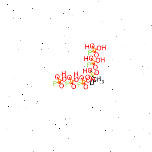 CS(=O)(=O)O.O=P(O)(O)F.O=P(O)(O)F.O=P(O)(O)F.O=P(O)(O)F.O=P([O-])(O)F.[Li+]